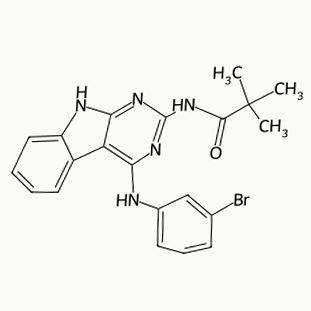 CC(C)(C)C(=O)Nc1nc(Nc2cccc(Br)c2)c2c(n1)[nH]c1ccccc12